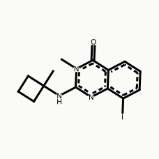 Cn1c(NC2(C)CCC2)nc2c(I)cccc2c1=O